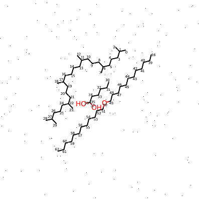 CC(C)CCCC(C)CCCC(C)CCCCC(C)CCCC(C)CCCC(C)C.CCCCCC(O)O.CCCCCCCCCCCCOCCCCCCCCCCCC